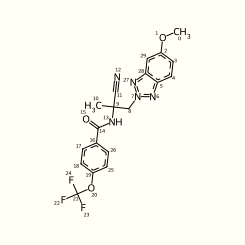 COc1ccc2nn(CC(C)(C#N)NC(=O)c3ccc(OC(F)(F)F)cc3)nc2c1